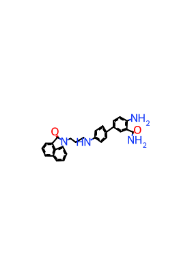 NC(=O)c1cc(-c2ccc(NCCCN3C(=O)c4cccc5cccc3c45)cc2)ccc1N